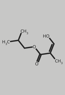 CC(=CO)C(=O)OCC(C)C